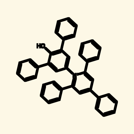 Oc1c(-c2ccccc2)cc(-[n+]2c(-c3ccccc3)cc(-c3ccccc3)cc2-c2ccccc2)cc1-c1ccccc1